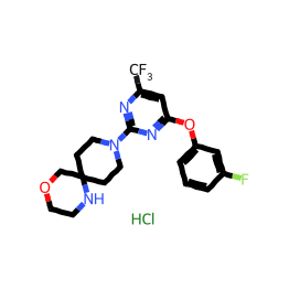 Cl.Fc1cccc(Oc2cc(C(F)(F)F)nc(N3CCC4(CC3)COCCN4)n2)c1